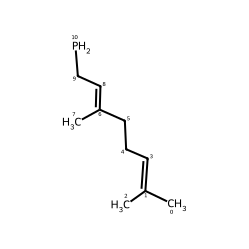 CC(C)=CCC/C(C)=C/CP